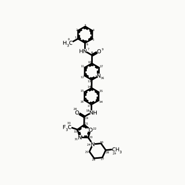 Cc1ccccc1NC(=O)c1ccc(-c2ccc(NC(=O)c3oc(N4CCCC(C)C4)nc3C(F)(F)F)cc2)nc1